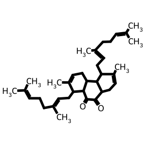 CC(C)=CCC/C(C)=C/CC1C(C)=CCC2C1C(=O)C(=O)C1CC=C(C)C(C/C=C(\C)CCC=C(C)C)C12